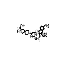 Cc1ccn(-c2cc(CN(C)C)ccc2[C@@H](Oc2cc(N3CCC4(CC3)CNC(C(=O)O)C4)nc(N)n2)C(F)(F)F)n1